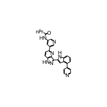 CCCC(=O)Nc1cncc(-c2ccc3[nH]nc(-c4cc5c(-c6ccncc6)cccc5[nH]4)c3n2)c1